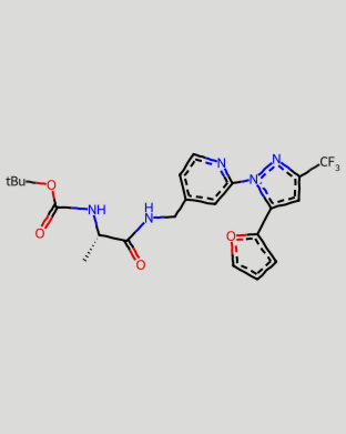 C[C@H](NC(=O)OC(C)(C)C)C(=O)NCc1ccnc(-n2nc(C(F)(F)F)cc2-c2ccco2)c1